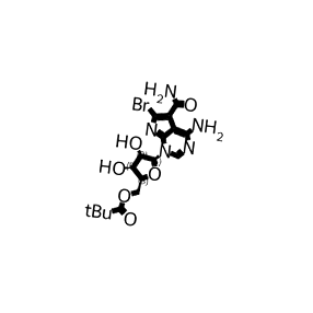 CC(C)(C)C(=O)OC[C@@H]1O[C@H](n2cnc(N)c3c(C(N)=O)c(Br)nc2-3)[C@H](O)[C@H]1O